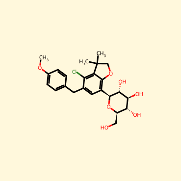 COc1ccc(Cc2cc([C@@H]3O[C@H](CO)[C@@H](O)[C@H](O)[C@H]3O)c3c(c2Cl)C(C)(C)CO3)cc1